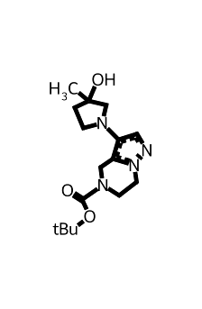 CC1(O)CCN(c2cnn3c2CN(C(=O)OC(C)(C)C)CC3)C1